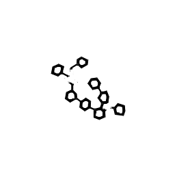 N=C(/N=C(\N=C\c1ccccc1)c1ccccc1)c1cccc(-c2ccc(-c3cccc4c3c3cc(-c5ccccc5)ccc3n4-c3ccccc3)cc2)c1